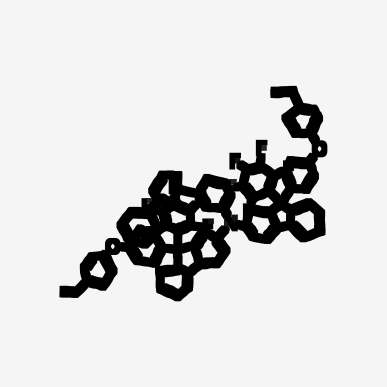 C=Cc1ccc(Oc2ccc(C3(c4c(F)c(F)c(F)c(F)c4F)c4ccccc4-c4ccc(N(c5cccc(-c6cccc(-c7ccccc7)c6)c5)c5ccc6c(c5)C(c5ccc(Oc7ccc(C=C)cc7)cc5)(c5c(F)c(F)c(F)c(F)c5F)c5ccccc5-6)cc43)cc2)cc1